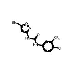 CC(C)(C)c1cc(NC(=O)Nc2ccc(Cl)c(C(F)(F)F)c2)no1